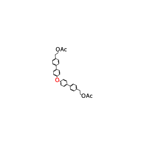 CC(=O)OCCc1ccc(-c2ccc(Oc3ccc(-c4ccc(CCOC(C)=O)cc4)cc3)cc2)cc1